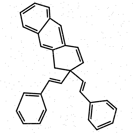 C(=CC1(C=Cc2ccccc2)C=Cc2cc3ccccc3cc2C1)c1ccccc1